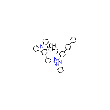 CC1(C)c2ccccc2-n2c3ccccc3c3cc(-c4cccc(-c5nc(-c6ccccc6)nc(-c6ccc(-c7ccc(-c8ccccc8)cc7)cc6)n5)c4)cc1c32